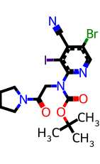 CC(C)(C)OC(=O)N(CC(=O)N1CCCC1)c1ncc(Br)c(C#N)c1I